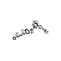 CCOCCN1CCN(c2cc(N)nc(NC[C@H]3CC[C@H](CNCCCNC4CCCC4)CC3)n2)CC1